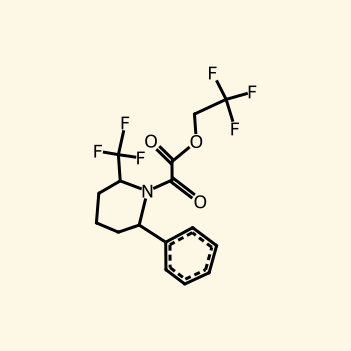 O=C(OCC(F)(F)F)C(=O)N1C(c2ccccc2)CCCC1C(F)(F)F